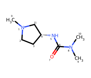 CN1CC[C@@H](NC(=O)N(C)C)C1